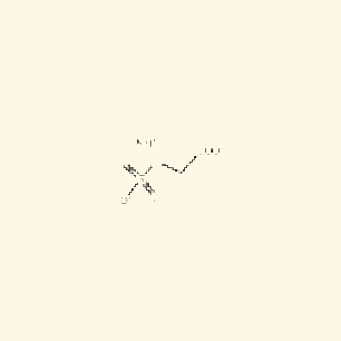 O=C([O-])COS(=O)(=O)[O-].[Mg+2]